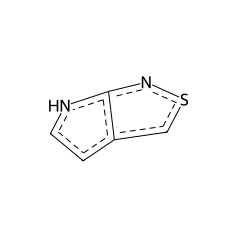 c1cc2csnc2[nH]1